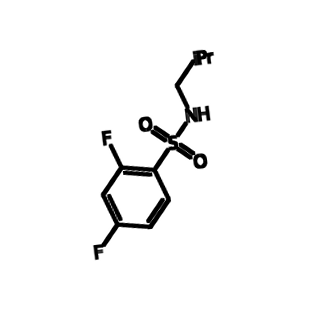 CC(C)CNS(=O)(=O)c1ccc(F)cc1F